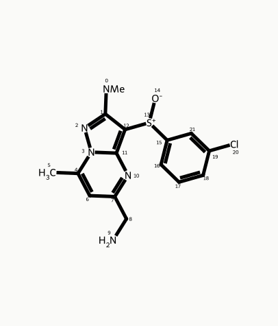 CNc1nn2c(C)cc(CN)nc2c1[S+]([O-])c1cccc(Cl)c1